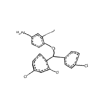 Nc1ccc(OC(c2ccc(Cl)cc2)c2ccc(Cl)cc2Cl)c(F)c1